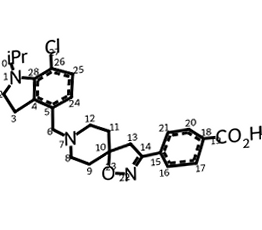 CC(C)N1CCc2c(CN3CCC4(CC3)CC(c3ccc(C(=O)O)cc3)=NO4)ccc(Cl)c21